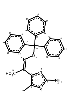 Cc1sc(N)nc1C(=NOC(c1ccccc1)(c1ccccc1)c1ccccc1)C(=O)O